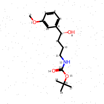 COc1cccc([C@H](O)CCCNC(=O)OC(C)(C)C)c1